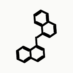 c1ccc2c(Sc3cccc4ccccc34)cccc2c1